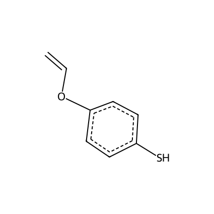 C=COc1ccc(S)cc1